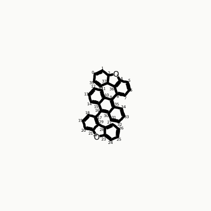 C1=CC2Oc3cccc(-c4c5ccccc5c(-c5cccc6oc7ccccc7c56)c5ccccc45)c3C2C=C1